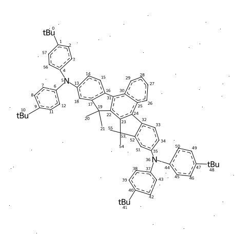 CC(C)(C)c1ccc(N(c2ccc(C(C)(C)C)cc2)c2ccc3c(c2)C(C)(C)c2c4c(c5ccccc5c2-3)-c2ccc(N(c3ccc(C(C)(C)C)cc3)c3ccc(C(C)(C)C)cc3)cc2C4(C)C)cc1